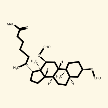 COC(=O)CCCCC(C)[C@H]1CC[C@H]2[C@@H]3CC[C@@H]4C[C@H](OC=O)CC[C@]4(C)[C@H]3C[C@H](OC=O)[C@]12C